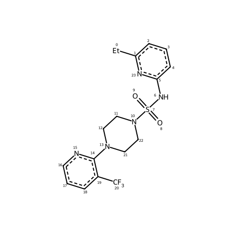 CCc1cccc(NS(=O)(=O)N2CCN(c3ncccc3C(F)(F)F)CC2)n1